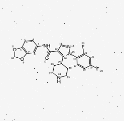 O=C(Nc1ccc2c(c1)OCO2)c1cnn(-c2ccc(F)cc2F)c1C1CCNCC1